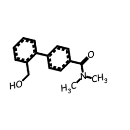 CN(C)C(=O)c1ccc(-c2ccccc2CO)cc1